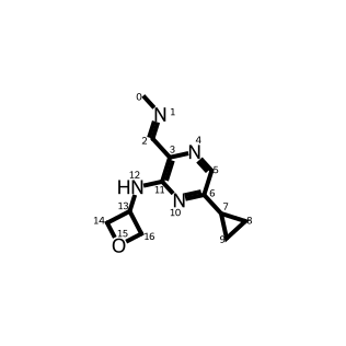 CN=Cc1ncc(C2CC2)nc1NC1COC1